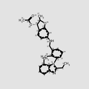 CCc1nc2cccc(C)c2n1-c1cccc(CNc2ccc3c(c2)OC(C)[C@H]3OC(C)=O)c1C